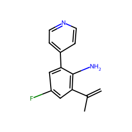 C=C(C)c1cc(F)cc(-c2ccncc2)c1N